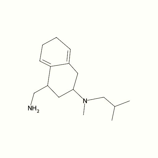 CC(C)CN(C)C1CC2=CCCC=C2C(CN)C1